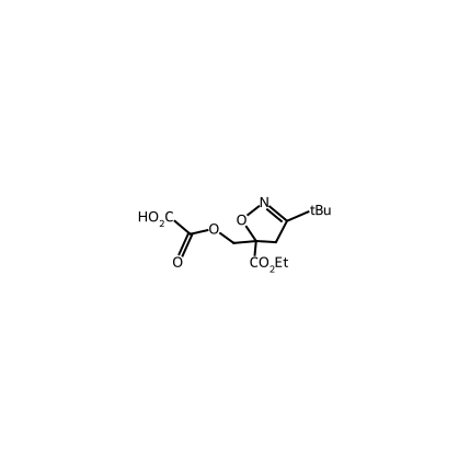 CCOC(=O)C1(COC(=O)C(=O)O)CC(C(C)(C)C)=NO1